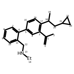 C=C(C)c1cc(-c2ccccc2CNCC)ccc1C(C)CC1CC1